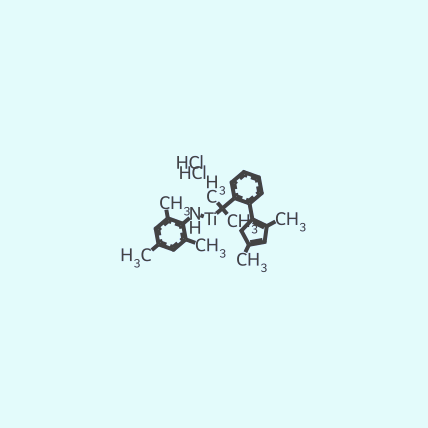 CC1=CC(C)=C(c2ccccc2[C](C)(C)[Ti][NH]c2c(C)cc(C)cc2C)C1.Cl.Cl